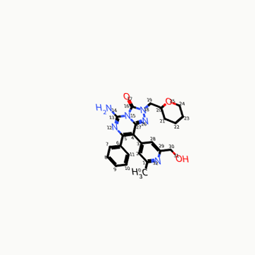 Cc1cc(-c2c(-c3ccccc3)nc(N)n3c(=O)n(CC4CCCCO4)nc23)cc(CO)n1